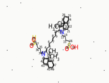 CC1(C)\C(=C/C=C/C=C/C=C/C2N(CCCCS(=O)O)c3ccc4ccccc4c3C2(C)C)N(CCCC[SH](=O)=O)c2ccc3ccccc3c21